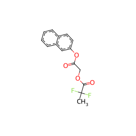 CC(F)(F)C(=O)OCC(=O)Oc1ccc2ccccc2c1